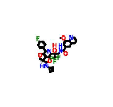 COc1cc(C(=O)NC[C@](O)(c2cc3c(c(-c4ccc(F)cc4)n2)OC[C@]3(C)C(=O)NC23CC(C2)C3)C(F)(F)F)cc2cccnc12